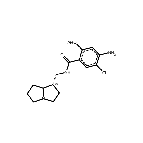 COc1cc(N)c(Cl)cc1C(=O)NC[C@@H]1CCN2CCCC12